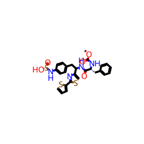 COC(=O)N[C@H](Cc1ccccc1)C(=O)NC(Cc1ccc(NS(=O)O)cc1)c1csc(-c2cccs2)n1